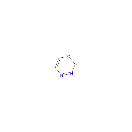 [CH]1N=NC=CO1